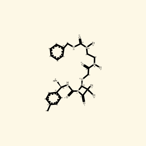 CCC[C@@H](NC(=O)N1C(=O)C(CC)(CC)[C@@H]1OCC(=O)N(CC)CCN(CC)C(=O)OCc1ccccc1)c1ccc(C)cc1